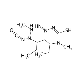 CCC(CC(CC)N(C)/C(S)=N\N=N)N(N=C=O)NC